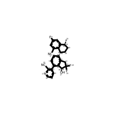 N#Cc1cc(F)cc2c1[C@@H](c1ccc(-c3cccnc3C#N)c3c1CC(F)(F)[C@H]3O)CC[C@@H]2F